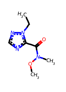 CCn1ncnc1C(=O)N(C)OC